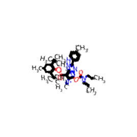 [C-]#[N+]c1c(C(=O)OC2C(C(C)(C)C)CC(C)CC2C(C)(C)C)c2[nH]c(-c3ccc(C)cc3)nn2c1OC(=O)N(CCC)CCC